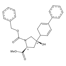 COC(=O)[C@@H]1C[C@@](O)(C2C=CC(c3ccccc3)=CC2)CN1C(=O)OCc1ccccc1